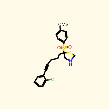 COc1ccc(S(=O)(=O)C2(CCCC#Cc3ccccc3Cl)CNCS2)cc1